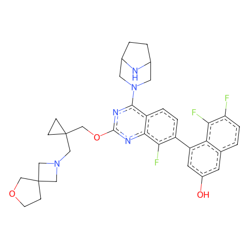 Oc1cc(-c2ccc3c(N4CC5CCC(C4)N5)nc(OCC4(CN5CC6(CCOC6)C5)CC4)nc3c2F)c2c(F)c(F)ccc2c1